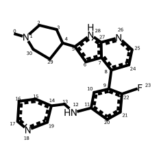 CN1CCC(c2cc3c(-c4cc(NCc5cccnc5)ccc4F)ccnc3[nH]2)CC1